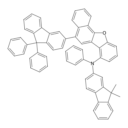 CC1(C)c2ccccc2-c2ccc(N(c3ccccc3)c3cccc4oc5c6ccccc6c(-c6ccc7c(c6)-c6ccccc6C7(c6ccccc6)c6ccccc6)cc5c34)cc21